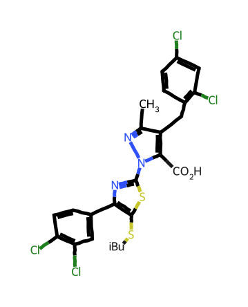 CCC(C)Sc1sc(-n2nc(C)c(Cc3ccc(Cl)cc3Cl)c2C(=O)O)nc1-c1ccc(Cl)c(Cl)c1